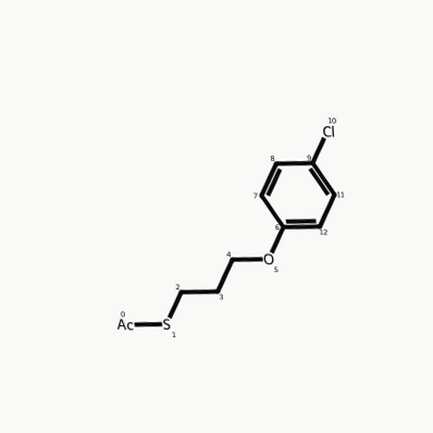 CC(=O)SCCCOc1ccc(Cl)cc1